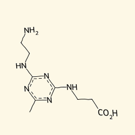 Cc1nc(NCCN)nc(NCCC(=O)O)n1